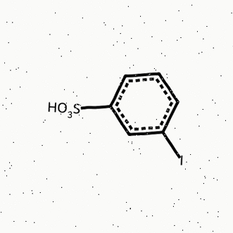 O=S(=O)(O)c1cccc(I)c1